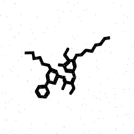 CCCCCCCCc1cc(N=C(CC)C(C)=Nc2cc(CCCCCC)cc(-c3ccccc3)c2)cc(C)c1CC